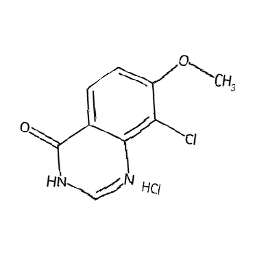 COc1ccc2c(=O)[nH]cnc2c1Cl.Cl